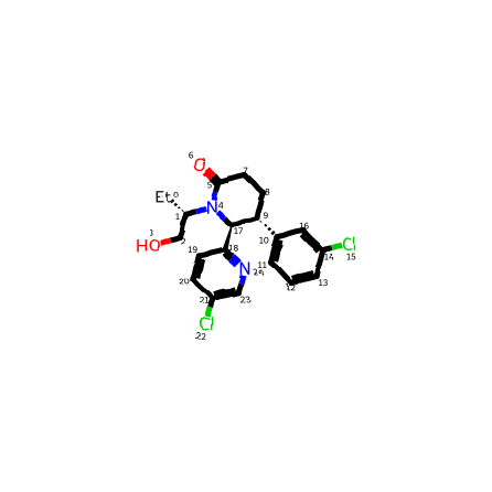 CC[C@@H](CO)N1C(=O)CC[C@H](c2cccc(Cl)c2)[C@H]1c1ccc(Cl)cn1